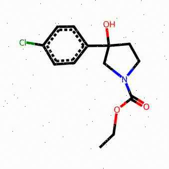 CCOC(=O)N1CCC(O)(c2ccc(Cl)cc2)C1